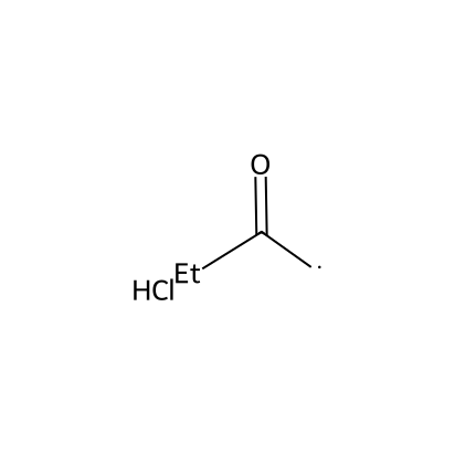 Cl.[CH2]C(=O)CC